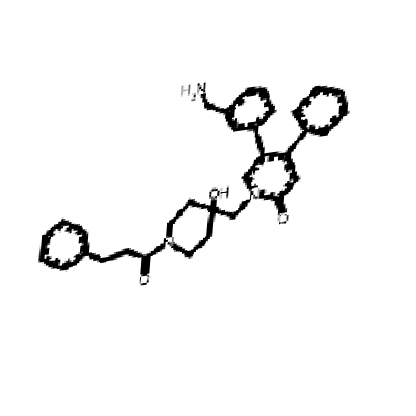 NCc1cccc(-c2cn(CC3(O)CCN(C(=O)CCc4ccccc4)CC3)c(=O)cc2-c2ccccc2)c1